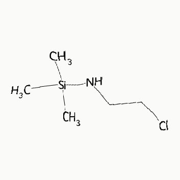 C[Si](C)(C)NCCCl